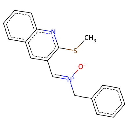 CSc1nc2ccccc2cc1/C=[N+](\[O-])Cc1ccccc1